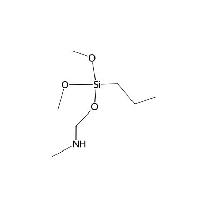 CCC[Si](OC)(OC)OCNC